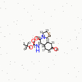 CC(C)(C)OC(=O)N[C@H](C(=O)N1CCSC1)C1CCC(=O)CC1